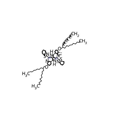 [C-]#[N+]/C(c1nc2ccccc2s1)=c1/[nH]c(-c2ccc(OCC(CCCCCCCC)CCCCCCCCCC)cc2)c2/c(=C(\C#N)c3nc4ccccc4s3)[nH]c(-c3ccc(OCC(C=C=C=C=C=C=C=C)CCCCCCCCCC)cc3)c12